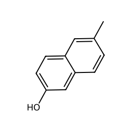 Cc1ccc2cc(O)ccc2c1